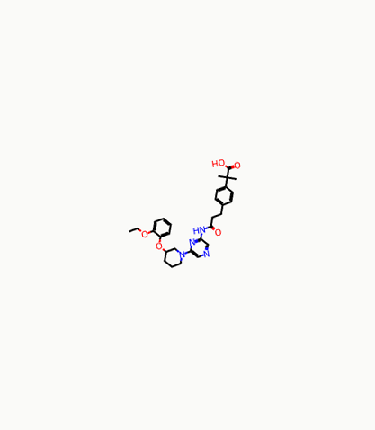 CCOc1ccccc1OC1CCCN(c2cncc(NC(=O)CCc3ccc(C(C)(C)C(=O)O)cc3)n2)C1